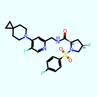 O=C(NCc1cc(N2CCC3(CC2)CC3)c(F)cn1)[C@H]1C[C@@H](F)CN1S(=O)(=O)c1ccc(F)cc1